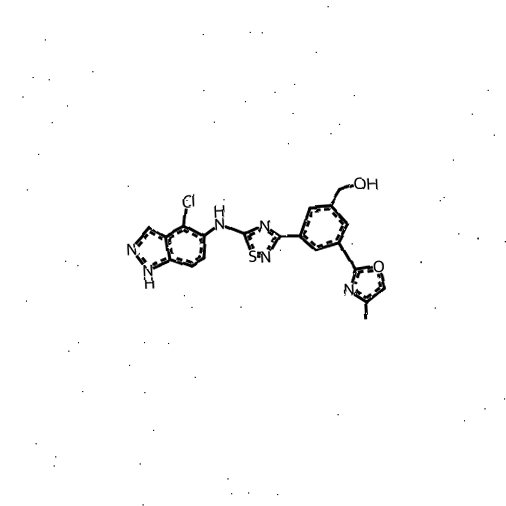 Cc1coc(-c2cc(CO)cc(-c3nsc(Nc4ccc5[nH]ncc5c4Cl)n3)c2)n1